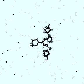 Cc1cc(Nc2cc(C3CCCNC3)nc3c(-c4coc(C)c4)cnn23)sn1